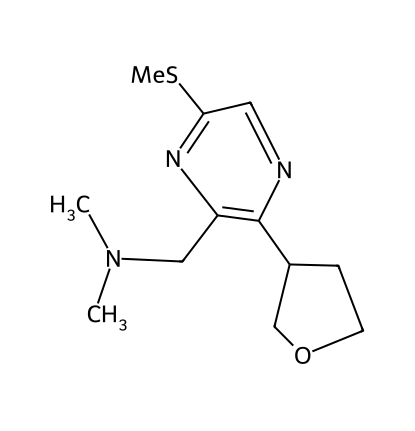 CSc1cnc(C2CCOC2)c(CN(C)C)n1